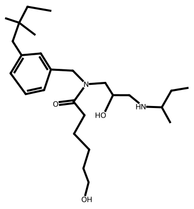 CCC(C)NCC(O)CN(Cc1cccc(CC(C)(C)CC)c1)C(=O)CCCCCO